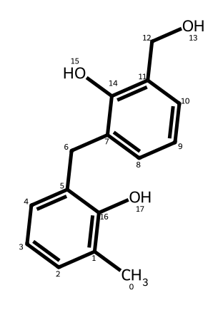 Cc1cccc(Cc2cccc(CO)c2O)c1O